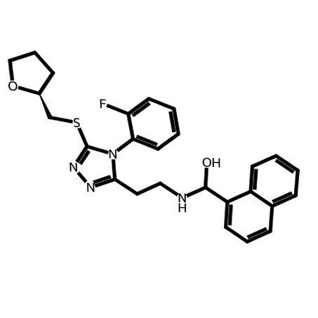 OC(NCCc1nnc(SC[C@@H]2CCCO2)n1-c1ccccc1F)c1cccc2ccccc12